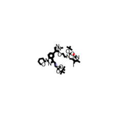 Cc1nn(C)c(CN(CCOc2c(-c3ccc4c(c3)c(/C=C/B3OC(C)(C)C(C)(C)O3)nn4C3CCCCO3)cnn2C)C(=O)OC(C)(C)C)c1I